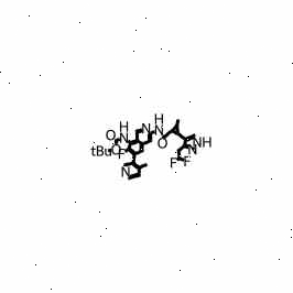 Cc1ccncc1-c1cc2cc(NC(=O)C3C(C)C3c3c[nH]nc3CC(F)F)ncc2c(NC(=O)OC(C)(C)C)c1F